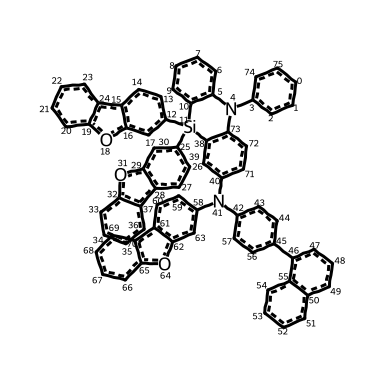 c1ccc(N2c3ccccc3[Si](c3ccc4c(c3)oc3ccccc34)(c3ccc4c(c3)oc3ccccc34)c3cc(N(c4ccc(-c5cccc6ccccc56)cc4)c4ccc5c(c4)oc4ccccc45)ccc32)cc1